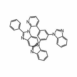 c1ccc(-c2nc3ccccc3n2-c2ncccc2-c2cc(-n3cnc4ccccc43)cc(-n3cnc4ccccc43)c2)cc1